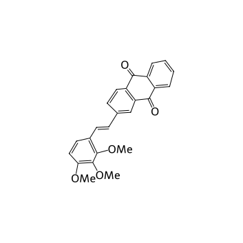 COc1ccc(C=Cc2ccc3c(c2)C(=O)c2ccccc2C3=O)c(OC)c1OC